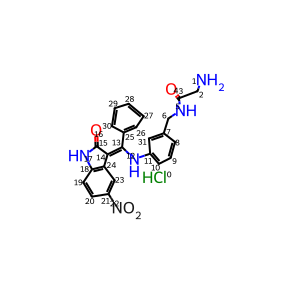 Cl.NCC(=O)NCc1cccc(NC(=C2C(=O)Nc3ccc([N+](=O)[O-])cc32)c2ccccc2)c1